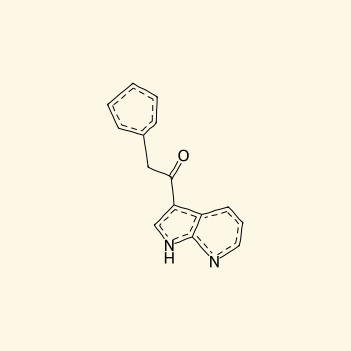 O=C(Cc1ccccc1)c1c[nH]c2ncccc12